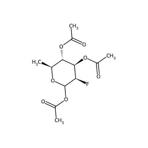 CC(=O)OC1O[C@@H](C)[C@H](OC(C)=O)[C@@H](OC(C)=O)[C@H]1F